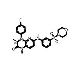 C[C@@H]1C(=O)N(C)c2ccc(Nc3cccc(S(=O)(=O)N4CCOCC4)c3)nc2N1c1ccc(F)cc1